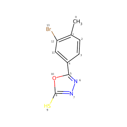 Cc1ccc(-c2nnc(S)o2)cc1Br